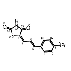 CC(C)c1ccc(C=CC=C2SC(=O)NC2=O)cc1